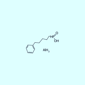 O=[PH](O)CCCCCc1ccccc1.[AlH3]